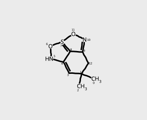 CC1(C)C=C2NOS3=C2C(=NO3)C1